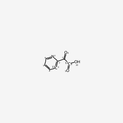 O=C(c1[13cH]cccn1)[13C](=O)O